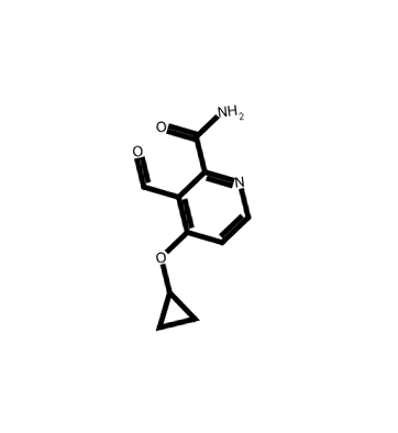 NC(=O)c1nccc(OC2CC2)c1C=O